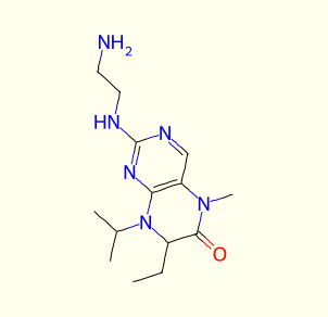 CCC1C(=O)N(C)c2cnc(NCCN)nc2N1C(C)C